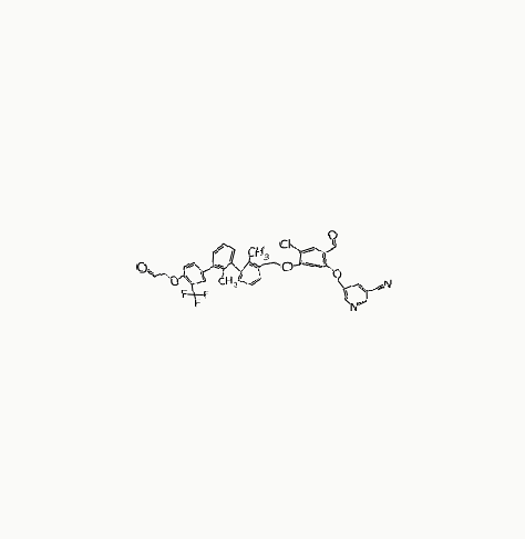 Cc1c(COc2cc(OCc3cncc(C#N)c3)c(C=O)cc2Cl)cccc1-c1cccc(-c2ccc(OCC=O)c(C(F)(F)F)c2)c1C